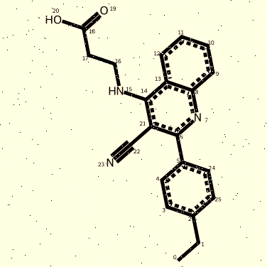 CCc1ccc(-c2nc3ccccc3c(NCCC(=O)O)c2C#N)cc1